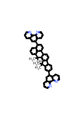 CC1(C)c2cc(-c3cc4cccnc4c4ncccc34)ccc2-c2ccc3c(c21)C(C)(C)c1cccc2c(-c4cc5cccnc5c5ncccc45)ccc-3c12